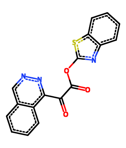 O=C(Oc1nc2ccccc2s1)C(=O)c1nncc2ccccc12